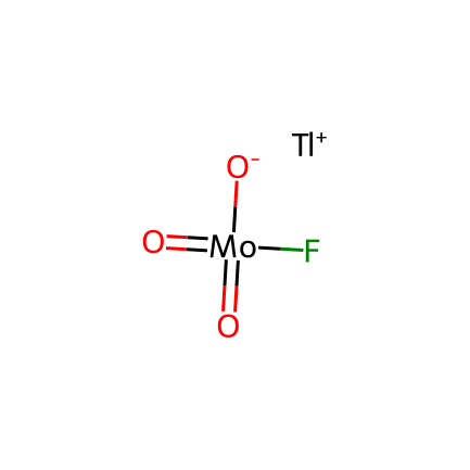 [O]=[Mo](=[O])([O-])[F].[Tl+]